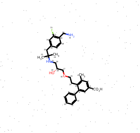 Cc1cc(C(=O)O)cc(-c2ccccc2)c1CCOC[C@H](O)CNC(C)(C)Cc1ccc(CN)c(F)c1